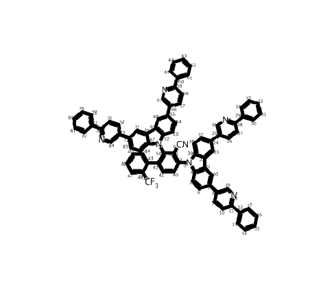 N#Cc1c(-n2c3ccc(-c4ccc(-c5ccccc5)nc4)cc3c3cc(-c4ccc(-c5ccccc5)nc4)ccc32)ccc(-c2ccccc2C(F)(F)F)c1-n1c2ccc(-c3ccc(-c4ccccc4)nc3)cc2c2cc(-c3ccc(-c4ccccc4)nc3)ccc21